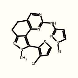 CCn1ccc(Nc2ncc3c(n2)-c2c(nn(C)c2-c2sccc2Cl)CC3)n1